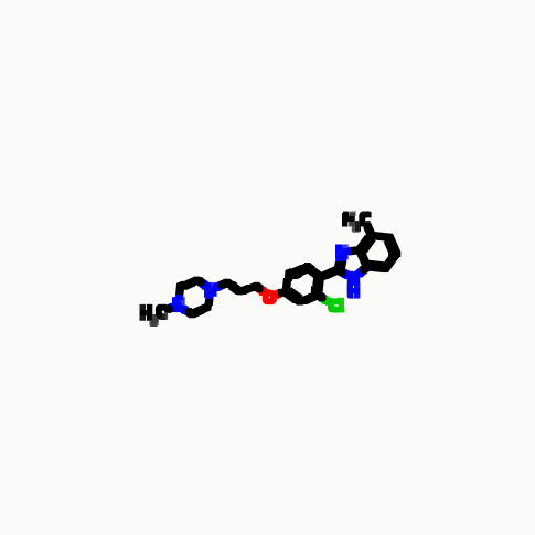 Cc1cccc2[nH]c(-c3ccc(OCCCN4CCN(C)CC4)cc3Cl)nc12